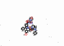 COc1ccc2c(c1)C(C)C(C)(S(=O)(=O)N1CCC[C@H]3CN(Cc4ccccc4)C[C@H]31)Cn1c-2c(C2CCCCC2)c2ccc(C(=O)NS(=O)(=O)N3CCOCC3)cc21